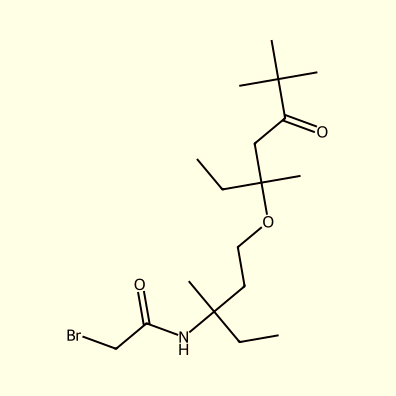 CCC(C)(CCOC(C)(CC)CC(=O)C(C)(C)C)NC(=O)CBr